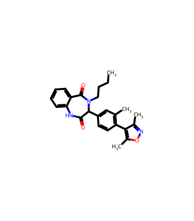 CCCCN1C(=O)c2ccccc2NC(=O)C1c1ccc(-c2c(C)noc2C)c(C)c1